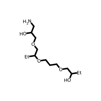 CCC(O)COCCCOC(CC)COCC(O)CN